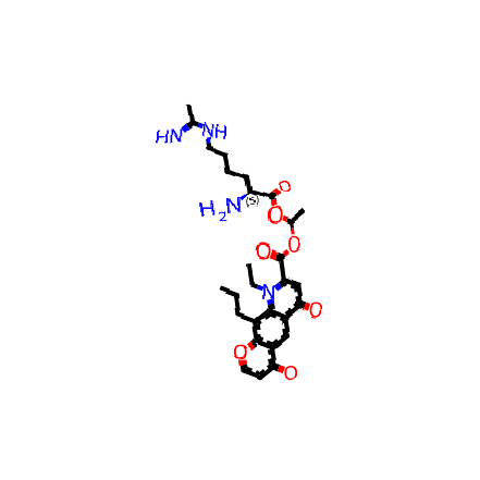 CCCc1c2occc(=O)c2cc2c(=O)cc(C(=O)OC(C)OC(=O)[C@@H](N)CCCCNC(C)=N)n(CC)c12